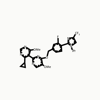 COc1cnc(-c2c(OC)ncnc2C2CC2)nc1OCc1ccc(-c2nc(C(F)(F)F)cn2C(C)C)c(F)c1